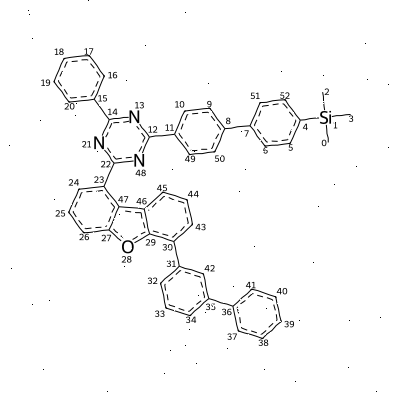 C[Si](C)(C)c1ccc(-c2ccc(-c3nc(-c4ccccc4)nc(-c4cccc5oc6c(-c7cccc(-c8ccccc8)c7)cccc6c45)n3)cc2)cc1